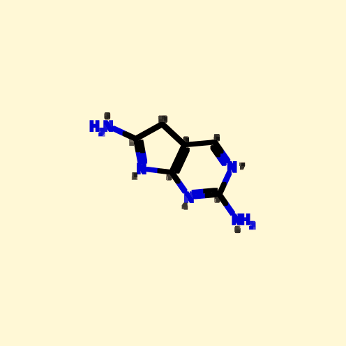 NC1=Nc2nc(N)ncc2C1